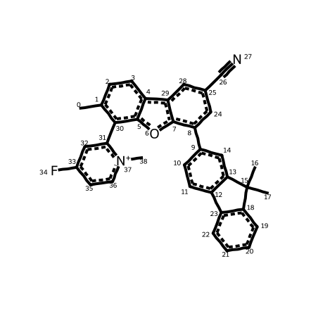 Cc1ccc2c(oc3c(-c4ccc5c(c4)C(C)(C)c4ccccc4-5)cc(C#N)cc32)c1-c1cc(F)cc[n+]1C